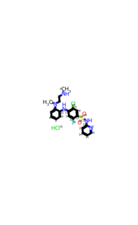 CNCCN(C)c1ccccc1Nc1cc(F)c(S(=O)(=O)Nc2ccccn2)cc1Cl.Cl